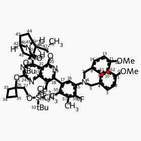 COc1ccc(CN(Cc2ccc(OC)cc2)c2cc(-c3nc4c5c(nc(OC6(CO[Si](C)(C)C(C)(C)C)CCC6)nc5c3F)N3C[C@H]5CC[C@@H]([C@H]3[C@H](C)O4)N5C(=O)OC(C)(C)C)c(C(F)(F)F)c(C)c2F)cc1